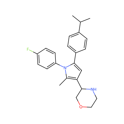 Cc1c(C2COCCN2)cc(-c2ccc(C(C)C)cc2)n1-c1ccc(F)cc1